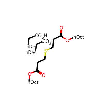 CCCCCCCCCCCC(=O)O.CCCCCCCCCCCC(=O)O.CCCCCCCCOC(=O)CCSCCC(=O)OCCCCCCCC